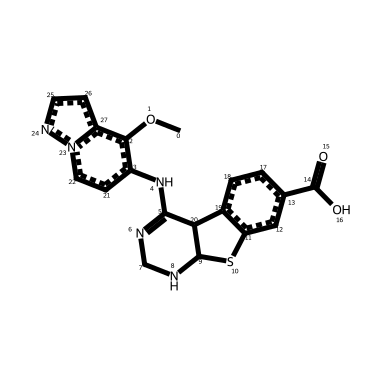 COc1c(NC2=NCNC3Sc4cc(C(=O)O)ccc4C23)ccn2nccc12